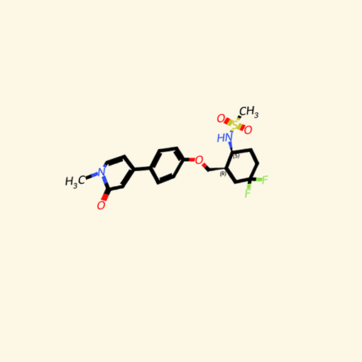 Cn1ccc(-c2ccc(OC[C@@H]3CC(F)(F)CC[C@@H]3NS(C)(=O)=O)cc2)cc1=O